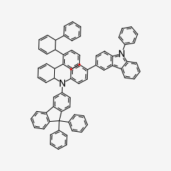 C1=CC(c2ccccc2)C(c2ccccc2C2C=CC=CC2N(c2ccc(-c3ccc4c(c3)c3ccccc3n4-c3ccccc3)cc2)c2ccc3c(c2)-c2ccccc2C3(c2ccccc2)c2ccccc2)C=C1